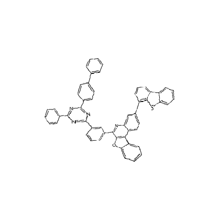 c1ccc(-c2ccc(-c3nc(-c4ccccc4)nc(-c4cccc(-c5nc6cc(-c7cccc8c7sc7ccccc78)ccc6c6c5oc5ccccc56)c4)n3)cc2)cc1